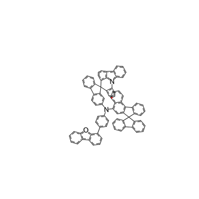 c1ccc2c(c1)-c1ccccc1C21c2ccccc2-c2c1cc(N(c1ccc(-c3cccc4c3oc3ccccc34)cc1)c1ccc3c(c1)C1(c4ccccc4-3)c3ccccc3-n3c4ccccc4c4cccc1c43)c1ccccc21